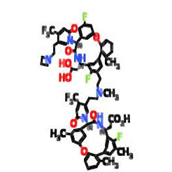 Cc1cc2cc(c1)[C@H](n1cc(CCN(C)CCc3cc4cc(c3F)[C@H](CC(O)O)NC(=O)[C@@H](n3cc(CCN5CCC5)c(C(F)(F)F)cc3=O)c3cc(F)cc(c3)Oc3cccc(C)c3-4)c(C(F)(F)F)cc1=O)C(=O)N[C@@H](CC(=O)O)c1cc(cc(C)c1F)-c1c(C)cccc1O2